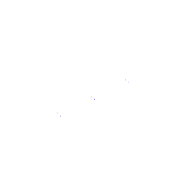 NC(=O)N1CCC(=O)[N]C1=O